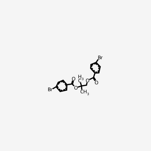 CC(C)(COC(=O)c1ccc(Br)cc1)OC(=O)c1ccc(Br)cc1